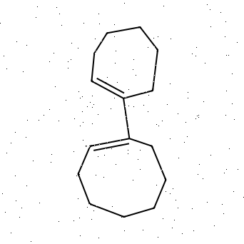 [C]1=C(/C2=CCCCCC2)CCCCCC/1